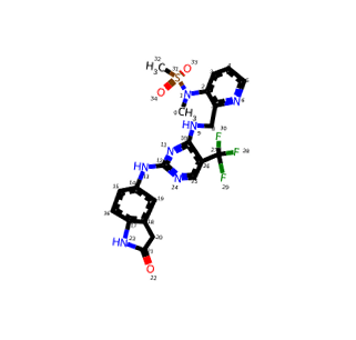 CN(c1cccnc1CNc1nc(Nc2ccc3c(c2)CC(=O)N3)ncc1C(F)(F)F)S(C)(=O)=O